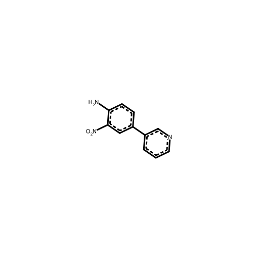 Nc1ccc(-c2cccnc2)cc1[N+](=O)[O-]